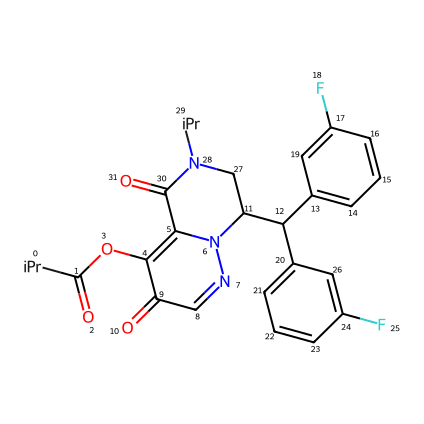 CC(C)C(=O)Oc1c2n(ncc1=O)C(C(c1cccc(F)c1)c1cccc(F)c1)CN(C(C)C)C2=O